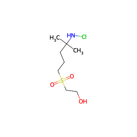 CC(C)(CCCS(=O)(=O)CCO)NCl